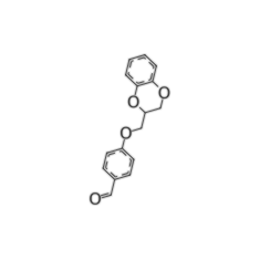 O=Cc1ccc(OCC2COc3ccccc3O2)cc1